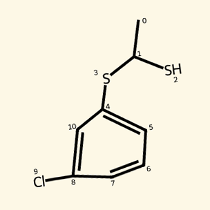 CC(S)Sc1cccc(Cl)c1